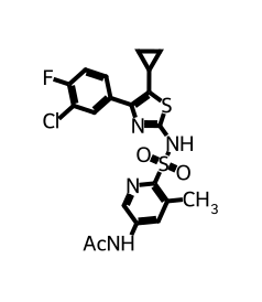 CC(=O)Nc1cnc(S(=O)(=O)Nc2nc(-c3ccc(F)c(Cl)c3)c(C3CC3)s2)c(C)c1